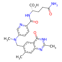 Cc1nc2cc(C)c(CN(C)c3ccc(C(=O)N[C@@H](CCC(N)=O)C(=O)O)nc3)cc2c(=O)[nH]1